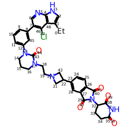 CCc1c[nH]c2ncc(-c3cccc(N4CCCN(CCN5CC(c6ccc7c(c6)C(=O)N(C6CCC(=O)NC6=O)C7=O)C5)C4=O)c3)c(Cl)c12